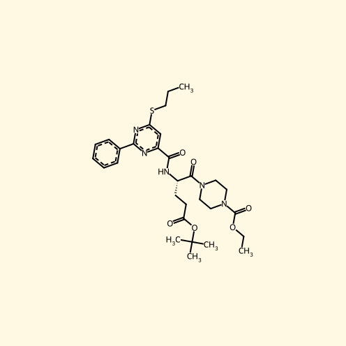 CCCSc1cc(C(=O)N[C@@H](CCC(=O)OC(C)(C)C)C(=O)N2CCN(C(=O)OCC)CC2)nc(-c2ccccc2)n1